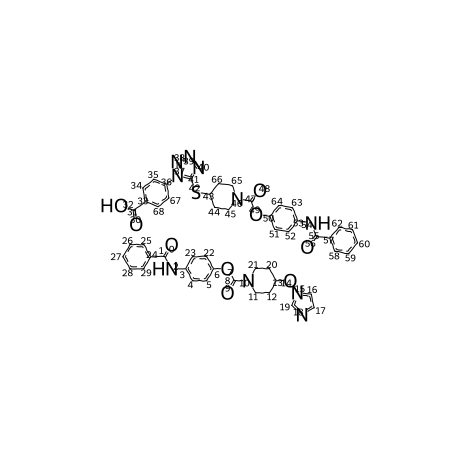 O=C(Nc1ccc(OC(=O)N2CCC(On3ccnc3)CC2)cc1)c1ccccc1.O=C(O)c1ccc(-n2nnnc2SC2CCN(C(=O)Oc3ccc(NC(=O)c4ccccc4)cc3)CC2)cc1